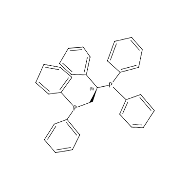 c1ccc([C@H](CP(c2ccccc2)c2ccccc2)P(c2ccccc2)c2ccccc2)cc1